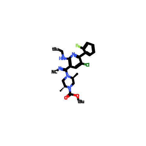 C[C@@H]1CN(/C(=N\C#N)c2cc(Cl)c(-c3ccccc3F)nc2NCC(C)(C)C)[C@@H](C)CN1C(=O)OC(C)(C)C